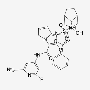 N#Cc1cc(NC(=O)c2c(Cl)c(S(=O)(=O)NC3C4CCC3CC(O)(c3cc(-c5ccccc5)on3)C4)c3n2CC=C3)cc(F)n1